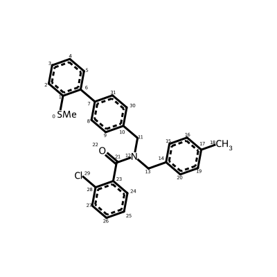 CSc1ccccc1-c1ccc(CN(Cc2ccc(C)cc2)C(=O)c2ccccc2Cl)cc1